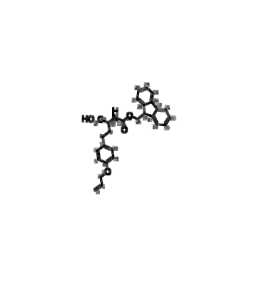 C=CCOc1ccc(CCC(NC(=O)OCC2c3ccccc3-c3ccccc32)C(=O)O)cc1